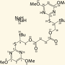 COc1cc(OC)nc(SC(COC(=O)CCC(=O)OCC(Sc2nc(OC)cc(OC)n2)C(C)(C)C)C(C)(C)C)n1.[NaH].[NaH]